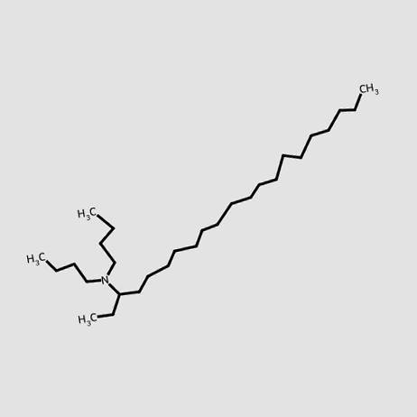 CCCCCCCCCCCCCCCCCCC(CC)N(CCCC)CCCC